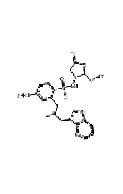 CCOC1OC(=O)CC1NS(=O)(=O)c1ccc(NC(C)=O)cc1C[C@H](C)Cn1cnc2cccnc21